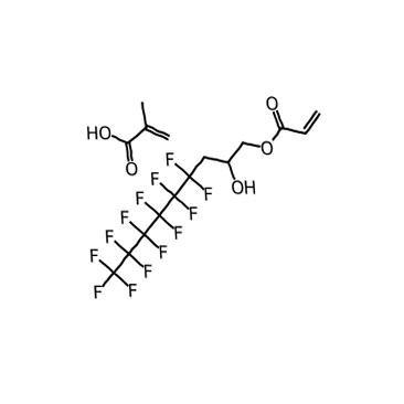 C=C(C)C(=O)O.C=CC(=O)OCC(O)CC(F)(F)C(F)(F)C(F)(F)C(F)(F)C(F)(F)C(F)(F)F